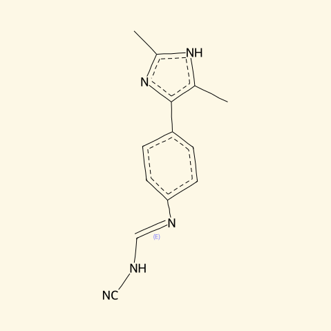 Cc1nc(-c2ccc(/N=C/NC#N)cc2)c(C)[nH]1